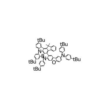 CC(C)(C)c1ccc(N2B3c4cc(C(C)(C)C)ccc4-n4c5ccc(C(C)(C)C)cc5c5c6c(c(c3c54)-c3cc4c(cc32)oc2ccc(N(c3ccc(C(C)(C)C)cc3)c3ccc(C(C)(C)C)cc3)cc24)-c2ccccc2C6(C)C)cc1